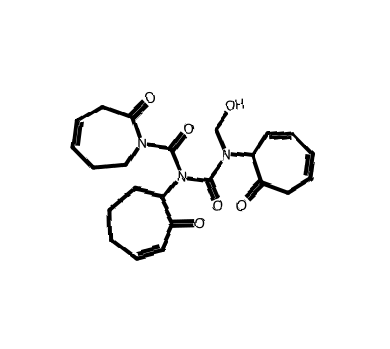 O=C1CC=CC=CC1N(CO)C(=O)N(C(=O)N1CCC=CCC1=O)C1CCCC=CC1=O